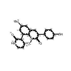 Cn1c(=O)c(-c2ccc(S)cc2)cc2cc(C(C)(C)C)cc(-c3ccc[nH]c3=O)c21